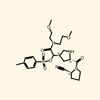 COCCN(CCOC)C(=O)C(OS(=O)(=O)c1ccc(C)cc1)[C@H]1CN[C@H](C(=O)N2CCC[C@H]2C#N)C1